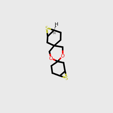 C1CC2(CC3SC13)OCC1(CC[C@@H]3SC3C1)CO2